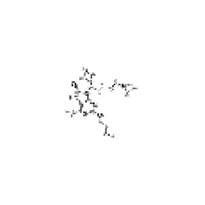 CCCCOc1nc(N)c2[nH]c(=O)n(C(CCCCN3CCC3)N3CCC3)c2n1